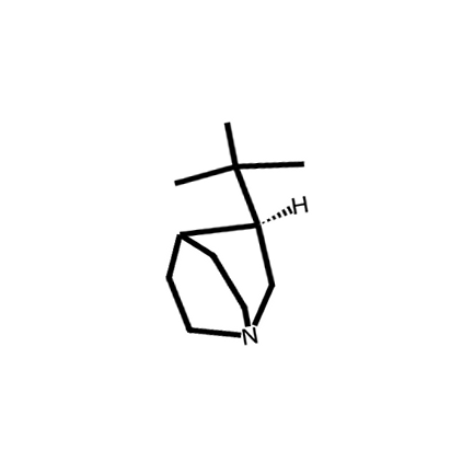 CC(C)(C)[C@H]1CN2CCC1CC2